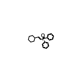 O=P(C=CC1CCCCC1)(c1ccccc1)c1ccccc1